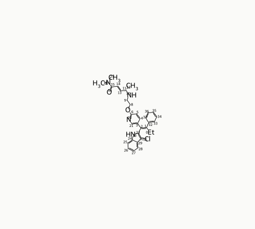 CC/C(=C(/c1ccc(OCCN[C@@H](C)/C=C/C(=O)N(C)C)nc1)c1[nH]c2ccccc2c1Cl)c1ccccc1